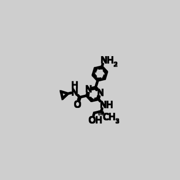 C[C@@H](CO)Nc1cc(C(=O)NC2CC2)nc(-c2ccc(N)cc2)n1